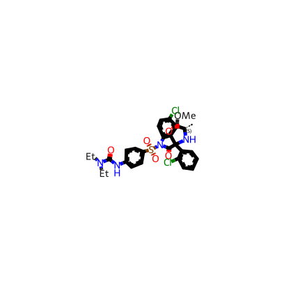 CCN(CC)C(=O)Nc1ccc(S(=O)(=O)N2C(=O)C(N[C@@H](C)C(=O)OC)(c3ccccc3Cl)c3cc(Cl)ccc32)cc1